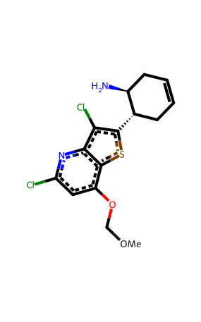 COCOc1cc(Cl)nc2c(Cl)c([C@H]3CC=CC[C@@H]3N)sc12